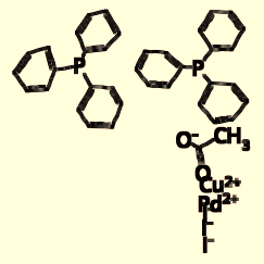 CC(=O)[O-].[Cu+2].[I-].[I-].[I-].[Pd+2].c1ccc(P(c2ccccc2)c2ccccc2)cc1.c1ccc(P(c2ccccc2)c2ccccc2)cc1